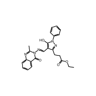 CCOC(=O)CCc1nn(-c2ccccc2)c(O)c1C=Nn1c(C)nc2ccccc2c1=O